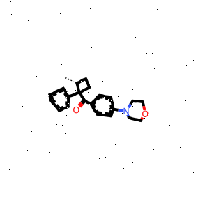 C[C@@H]1CCC1(C(=O)c1ccc(N2CCOCC2)cc1)c1ccccc1